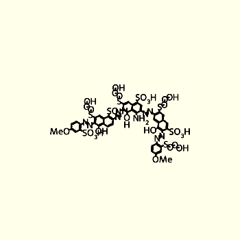 COc1ccc(N=Nc2c(S(=O)(=O)O)cc3cc(SOOO)c(N=Nc4cc(S(=O)(=O)O)c5cc(SOOO)c(N=Nc6ccc7c(O)c(N=Nc8ccc(OC)cc8S(=O)(=O)O)c(SOOO)cc7c6S(=O)(=O)O)c(O)c5c4N)cc3c2O)c(SOOO)c1